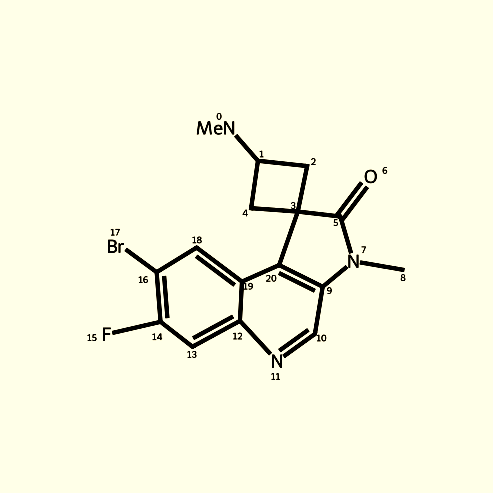 CNC1CC2(C1)C(=O)N(C)c1cnc3cc(F)c(Br)cc3c12